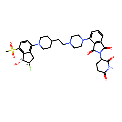 CS(=O)(=O)c1ccc(N2CCC(CCN3CCN(c4cccc5c4C(=O)N(C4CCC(=O)NC4=O)C5=O)CC3)CC2)c2c1[C@@H](O)[C@H](F)C2